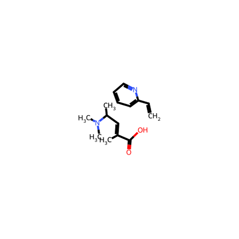 C=Cc1ccccn1.CC(=CC(C)N(C)C)C(=O)O